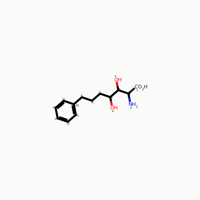 NC(C(=O)O)C(O)C(O)CCCc1ccccc1